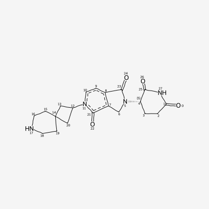 O=C1CC[C@H](N2Cc3c(ccn(C4CC5(CCNCC5)C4)c3=O)C2=O)C(=O)N1